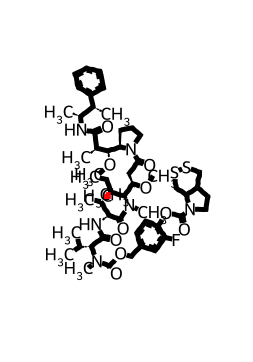 CC[C@H](C)[C@@H]([C@@H](CC(=O)N1CCC[C@@H]1[C@H](OC)[C@H](C)C(=O)N[C@H](C)[C@@H](C)c1ccccc1)OC)N(C)C(=O)[C@H](NC(=O)[C@@H](C(C)C)N(C)C(=O)OCc1ccc(OC(=O)N2CCC3CSSCC32)c(F)c1)C(C)C